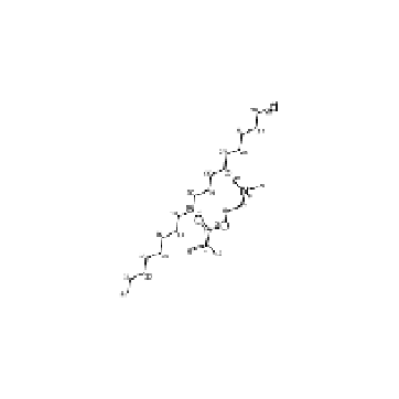 C=C(C)C(=O)OCCN(C)C.CCCCCCCCCCCCCCCCCCCl